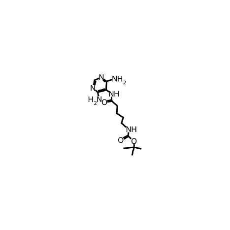 CC(C)(C)OC(=O)NCCCCC(=O)Nc1c(N)ncnc1N